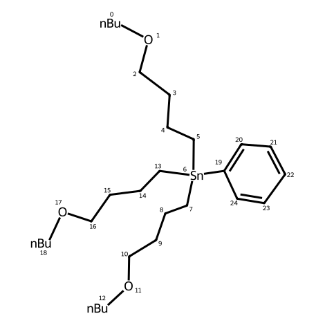 CCCCOCCC[CH2][Sn]([CH2]CCCOCCCC)([CH2]CCCOCCCC)[c]1ccccc1